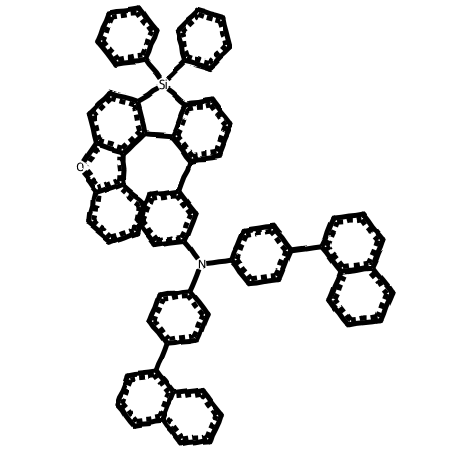 c1ccc([Si]2(c3ccccc3)c3cccc(-c4cccc(N(c5ccc(-c6cccc7ccccc67)cc5)c5ccc(-c6cccc7ccccc67)cc5)c4)c3-c3c2ccc2oc4ccccc4c32)cc1